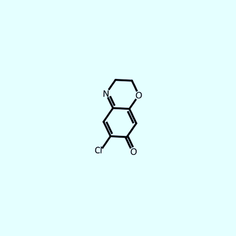 O=C1C=C2OCCN=C2C=C1Cl